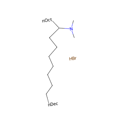 Br.CCCCCCCCCCCCCCCCCC(CCCCCCCC)N(C)C